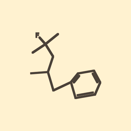 CC(Cc1ccccc1)CC(C)(C)F